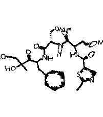 COCC(NC(=O)c1cnc(C)s1)C(=O)N[C@@H](COC)C(=O)N[C@@H](Cc1ccccc1)C(=O)C(C)(O)CO